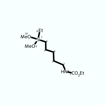 CCOC(=O)NCCCCC[Si](CC)(OC)OC